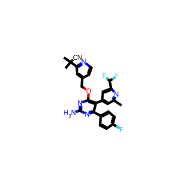 Cc1cc(-c2c(OCc3ccnc(C(C)(C)C#N)c3)nc(N)nc2-c2ccc(F)cc2)cc(C(F)F)n1